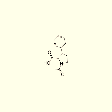 CC(=O)N1CCC(c2ccccc2)C1C(=O)O